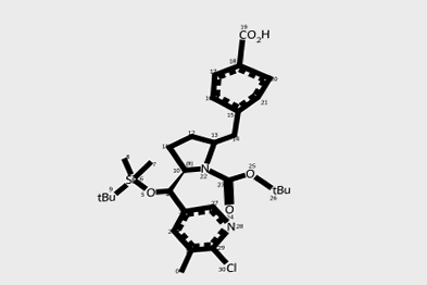 Cc1cc(C(O[Si](C)(C)C(C)(C)C)[C@H]2CCC(Cc3ccc(C(=O)O)cc3)N2C(=O)OC(C)(C)C)cnc1Cl